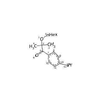 CCCCCCOC(C)(C)C(=O)c1ccc(C(C)C)cc1